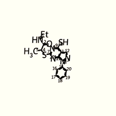 CCNC(=O)C(C)Sc1nc(S)c2cnn(-c3ccccc3)c2n1